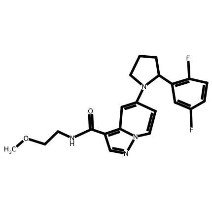 COCCNC(=O)c1cnn2ccc(N3CCCC3c3cc(F)ccc3F)cc12